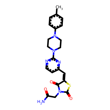 Cc1ccc(N2CCN(c3nccc(C=C4SC(=O)N(CC(N)=O)C4=O)n3)CC2)cc1